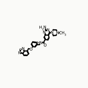 CN1CCN(c2nc(N)nc3cc(C(=O)NCc4cccc(OCc5cccc6nsnc56)c4)ccc23)CC1